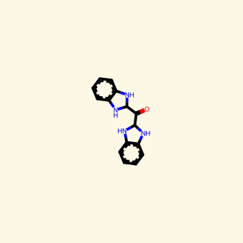 O=C(C1Nc2ccccc2N1)C1Nc2ccccc2N1